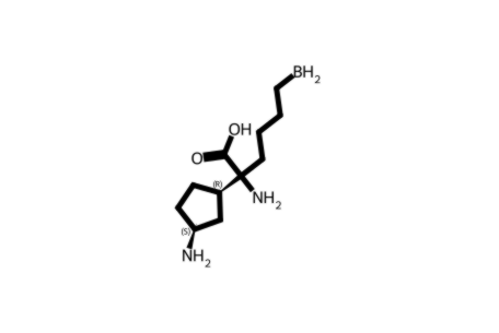 BCCCCC(N)(C(=O)O)[C@@H]1CC[C@H](N)C1